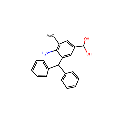 COc1cc(C(O)O)cc(C(c2ccccc2)c2ccccc2)c1N